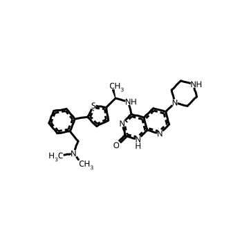 C[C@@H](Nc1nc(=O)[nH]c2ncc(N3CCNCC3)cc12)c1ccc(-c2ccccc2CN(C)C)s1